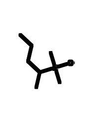 CCCC(C)[Si](C)(C)[O]